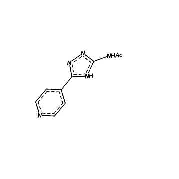 CC(=O)Nc1nnc(-c2ccncc2)[nH]1